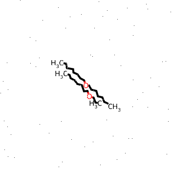 CCCCCCCCOCCC.CCCCCCCCOCCCCCCCC